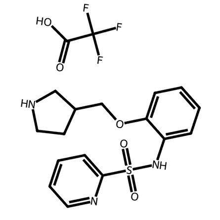 O=C(O)C(F)(F)F.O=S(=O)(Nc1ccccc1OCC1CCNC1)c1ccccn1